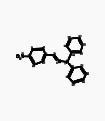 O=[N+]([O-])c1ccc(C=NN(c2ccccc2)c2ccccc2)cc1